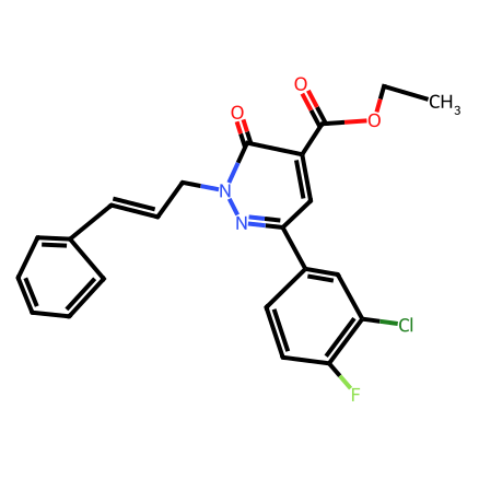 CCOC(=O)c1cc(-c2ccc(F)c(Cl)c2)nn(CC=Cc2ccccc2)c1=O